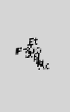 CCc1ccc(N(CC(C)C)S(=O)(=O)c2ccc3c(c2)C(=O)CCN3CC2CCN(C(C)=O)CC2)cc1